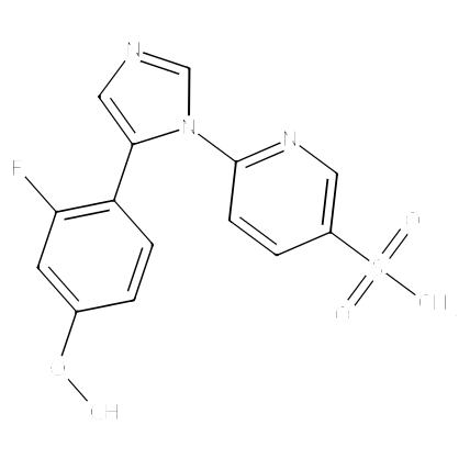 COc1ccc(-c2cncn2-c2ccc(S(C)(=O)=O)cn2)c(F)c1